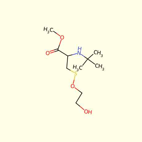 COC(=O)C(CSOCCO)NC(C)(C)C